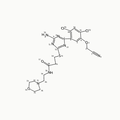 N#CCOc1cc(-c2nc(N)nc(SCCC(=O)NCCN3CCOCC3)n2)c(Cl)cc1Cl